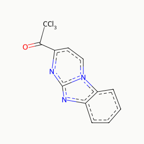 O=C(c1ccn2c(n1)nc1ccccc12)C(Cl)(Cl)Cl